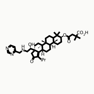 CC(C)C1=C2[C@H]3CC[C@@H]4[C@@]5(C)CC[C@H](OC(=O)CC(C)(C)C(=O)O)C(C)(C)C5CC[C@@]4(C)[C@]3(C)CC[C@@]2([C@@H](O)CNCc2ccncn2)CC1=O